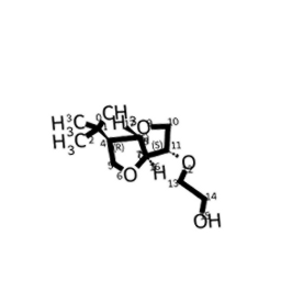 CC(C)(C)[C@@H]1CO[C@H]2[C@H]1OC[C@@H]2OCCO